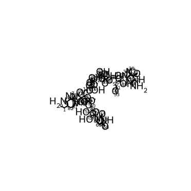 CCC1=C(N)c2ncn([C@@H]3OC(COP(=O)(O)OP(=O)(O)CCP(=O)(O)OP(=O)(O)OC[C@H]4O[C@@H](n5c[n+](C)c6c(=O)[nH]c(N)nc65)[C@H](O)[C@@H]4CCOC)[C@@H](OP(=O)(O)OC[C@H]4O[C@@H](n5ccc(=O)[nH]c5=O)[C@H](O)[C@@H]4O)[C@H]3OC)c2N=CC1